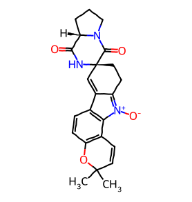 CC1(C)C=Cc2c(ccc3c2[N+]([O-])=C2CC[C@@]4(C=C23)NC(=O)[C@@H]2CCCN2C4=O)O1